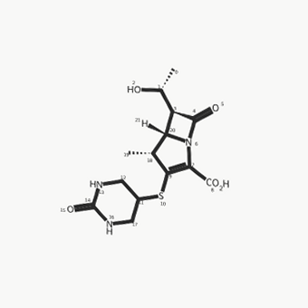 C[C@@H](O)[C@H]1C(=O)N2C(C(=O)O)=C(SC3CNC(=O)NC3)[C@H](C)[C@H]12